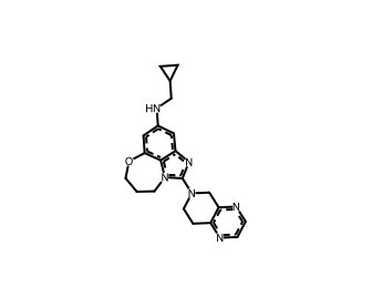 c1cnc2c(n1)CCN(c1nc3cc(NCC4CC4)cc4c3n1CCCO4)C2